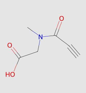 C#CC(=O)N(C)CC(=O)O